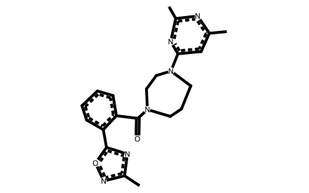 Cc1cc(N2CCCN(C(=O)c3ccccc3-c3nc(C)no3)CC2)nc(C)n1